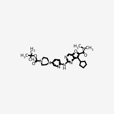 CN(C)C(=O)c1oc2cnc(Nc3ccc(N4CCN(C(=O)OC(C)(C)C)CC4)cn3)nc2c1C1CCCC1